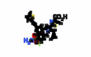 Cc1ccc(C#Cc2cccc(-c3cc(-c4nc(C(=O)O)c(C)s4)c(CC4CC4)n3Cc3ccc(S(N)(=O)=O)c(F)c3)c2)s1